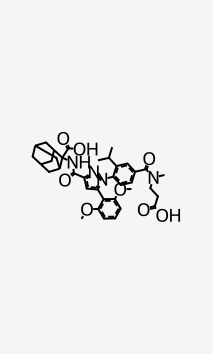 COc1cccc(OC)c1-c1cc(C(=O)NC2(C(=O)O)C3CC4CC(C3)CC2C4)nn1-c1ccc(C(=O)N(C)CCC(=O)O)cc1C(C)C